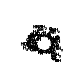 C[C@@H](O)[C@@H]1NC(=O)[C@@H]2Cc3cn(nn3)CCC[C@H](C(=O)N[C@@H](Cc3ccc(O)cc3)C(N)=O)NC(=O)[C@H](CCC(N)=O)NC(=O)C(Cc3c[nH]c4ccccc34)NC(=O)[C@H](CCCNC(N)=O)NC(=O)C(CSSCC(NC(=O)CN)C(=O)N2)NC(=O)[C@H](CCCNC(=N)N)NC(=O)C2CCCN2C(=O)[C@H](CC(=O)O)NC1=O